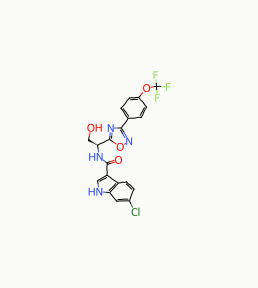 O=C(N[C@@H](CO)c1nc(-c2ccc(OC(F)(F)F)cc2)no1)c1c[nH]c2cc(Cl)ccc12